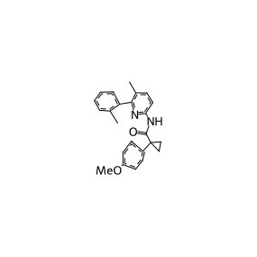 COc1ccc(C2(C(=O)Nc3ccc(C)c(-c4ccccc4C)n3)CC2)cc1